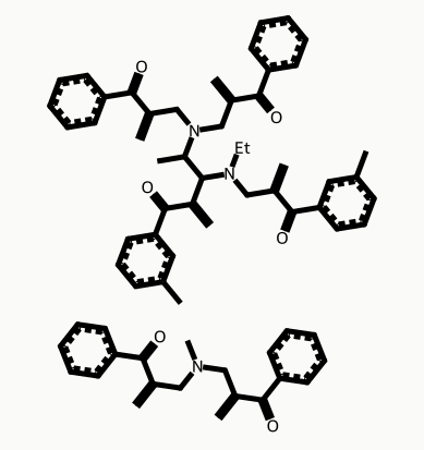 C=C(CN(C)CC(=C)C(=O)c1ccccc1)C(=O)c1ccccc1.C=C(CN(CC(=C)C(=O)c1ccccc1)C(C)C(C(=C)C(=O)c1cccc(C)c1)N(CC)CC(=C)C(=O)c1cccc(C)c1)C(=O)c1ccccc1